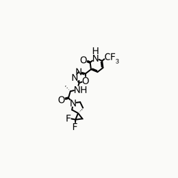 C[C@H](Nc1nnc(-c2ccc(C(F)(F)F)[nH]c2=O)o1)C(=O)N1CC[C@]2(C1)CC2(F)F